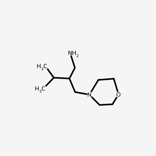 CC(C)C(CN)CN1CCOCC1